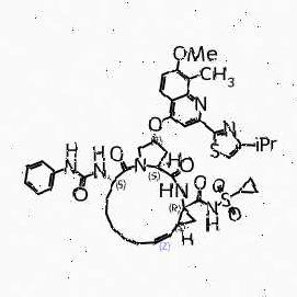 COc1ccc2c(O[C@@H]3C[C@H]4C(=O)N[C@]5(C(=O)NS(=O)(=O)C6CC6)C[C@H]5/C=C\CCCCC[C@H](NC(=O)Nc5ccccc5)C(=O)N4C3)cc(-c3nc(C(C)C)cs3)nc2c1C